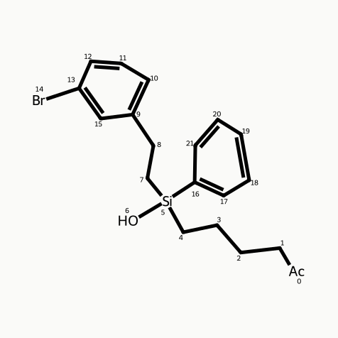 CC(=O)CCCC[Si](O)(CCc1cccc(Br)c1)c1ccccc1